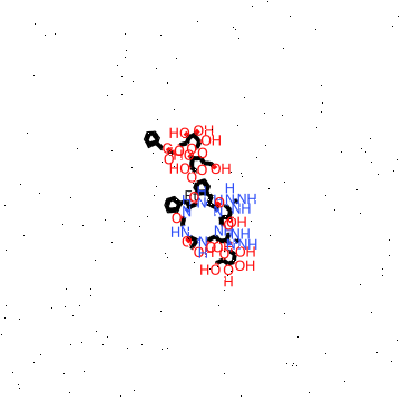 CCC(c1ccccc1)C1NC(=O)CNC(=O)C(CO)NC(=O)C(C(O)C2CNC(=N)N2C2OC(CO)C(O)C(O)C2O)NC(=O)C(C(O)C2CNC(=N)N2)NC(=O)C(Cc2ccc(OC3OC(CO)C(OC4OC(COC(=O)OCc5ccccc5)C(O)C(O)C4O)C(O)C3O)cc2)NC1=O